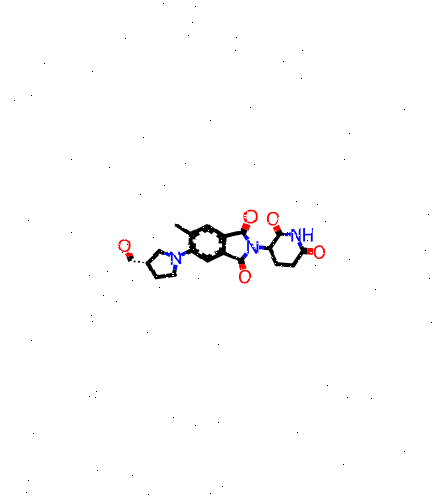 Cc1cc2c(cc1N1CC[C@H](C=O)C1)C(=O)N(C1CCC(=O)NC1=O)C2=O